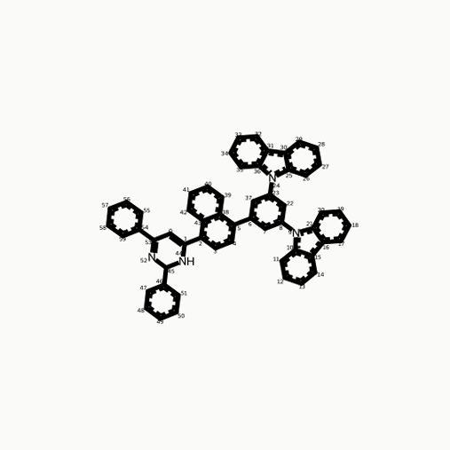 C1=C(c2ccc(-c3cc(-n4c5ccccc5c5ccccc54)cc(-n4c5ccccc5c5ccccc54)c3)c3ccccc23)NC(c2ccccc2)N=C1c1ccccc1